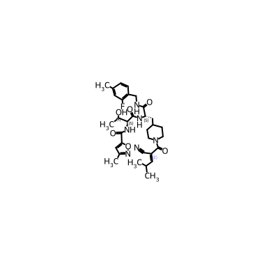 Cc1ccc(CNC(=O)[C@H](CC2CCN(C(=O)/C(C#N)=C/C(C)C)CC2)NC(=O)[C@@H](NC(=O)c2cc(C)no2)[C@@H](C)O)c(F)c1